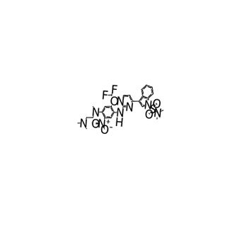 CN(C)CCN(C)c1cc(OC(F)F)c(Nc2nccc(-c3cn(S(=O)(=O)N(C)C)c4ccccc34)n2)cc1[N+](=O)[O-]